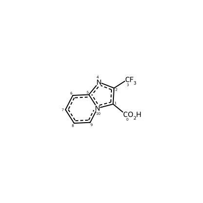 O=C(O)c1c(C(F)(F)F)nc2ccccn12